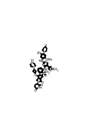 CCc1cc(Nc2ncc(-c3cnn(C)c3)c(Nc3ccccc3P(C)(=O)c3cc(O[C@H]4C[C@H](N5CCNCC5)C4)c4c(c3)C(=O)N(C3CCC(=O)NC3=O)C4)n2)c(OC)cc1N1CCC(=O)CC1